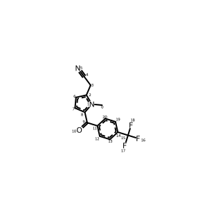 Cn1c(CC#N)ccc1C(=O)c1ccc(C(F)(F)F)cc1